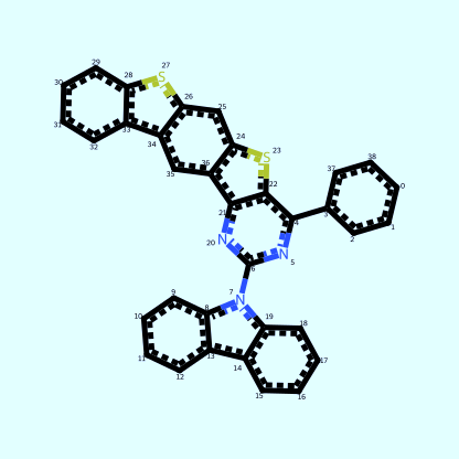 c1ccc(-c2nc(-n3c4ccccc4c4ccccc43)nc3c2sc2cc4sc5ccccc5c4cc23)cc1